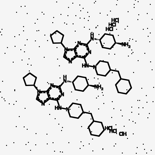 Cl.Cl.Cl.Cl.Cl.Cl.N[C@H]1CC[C@H](Nc2nc(NN3CCC(CC4CCCCC4)CC3)c3ncn(C4CCCC4)c3n2)CC1.N[C@H]1CC[C@H](Nc2nc(NN3CCC(CC4CCCCC4)CC3)c3ncn(C4CCCC4)c3n2)CC1